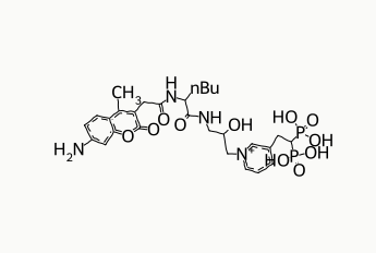 CCCCC(NC(=O)Cc1c(C)c2ccc(N)cc2oc1=O)C(=O)NCC(O)C[n+]1cccc(CC(P(=O)(O)O)P(=O)(O)O)c1